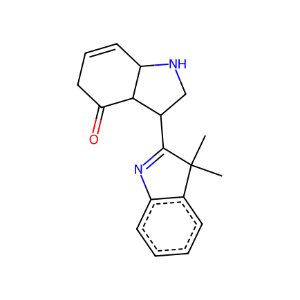 CC1(C)C(C2CNC3C=CCC(=O)C32)=Nc2ccccc21